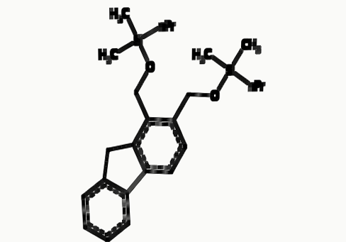 CCC[Si](C)(C)OCc1ccc2c(c1CO[Si](C)(C)CCC)Cc1ccccc1-2